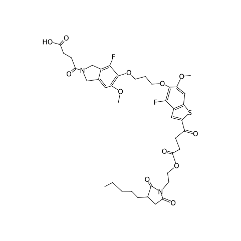 CCCCCC1CC(=O)N(CCOC(=O)CCC(=O)c2cc3c(F)c(OCCCOc4c(OC)cc5c(c4F)CN(C(=O)CCC(=O)O)C5)c(OC)cc3s2)C1=O